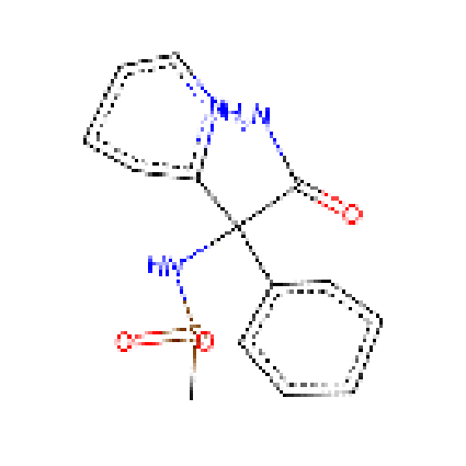 CS(=O)(=O)NC(C(N)=O)(c1ccccc1)c1ccccn1